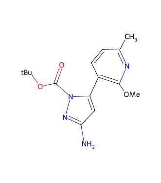 COc1nc(C)ccc1-c1cc(N)nn1C(=O)OC(C)(C)C